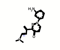 C=C(/C=C/N(C)C)c1nn(-c2cccc(N)c2)ccc1=O